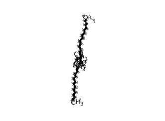 CCCC.CCCCCCCCCCCCCCCCCC(=O)OCCCCCCCCCCCCCCC.N